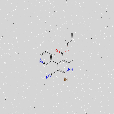 C=CCOC(=O)C1=C(C)NC(S)=C(C#N)C1c1cccnc1